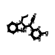 CCN1c2ccccc2NC1C(C#N)c1ccnc(Cl)n1